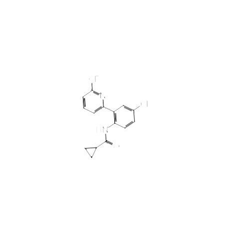 Cc1ccc(NC(=O)C2CC2)c(-c2cccc(C(F)(F)F)n2)c1